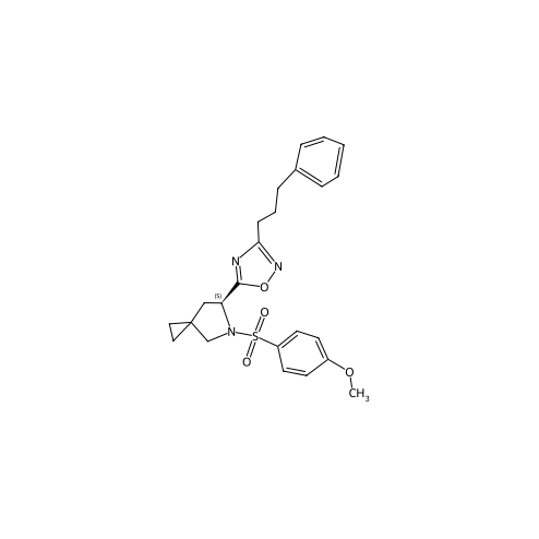 COc1ccc(S(=O)(=O)N2CC3(CC3)C[C@H]2c2nc(CCCc3ccccc3)no2)cc1